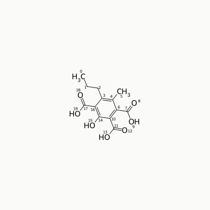 CCCc1c(C)c(C(=O)O)c(C(=O)O)c(O)c1C(=O)O